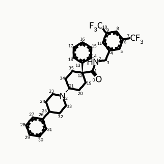 O=C(NCc1cc(C(F)(F)F)cc(C(F)(F)F)c1)[C@]1(c2ccccc2)CC[C@H](N2CCC(c3ccccc3)CC2)CC1